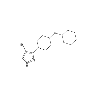 CCc1c[nH]nc1C1CCC(OC2CCCCC2)CC1